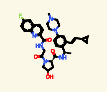 C[C@@H](NC(=O)[C@@H]1C[C@@H](O)CN1C(=O)CNC(=O)c1ccc2cc(F)ccc2n1)c1ccc(N2CCN(C)CC2)cc1/C=C/C1CC1